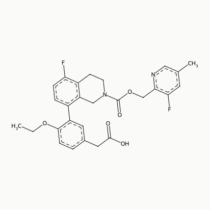 CCOc1ccc(CC(=O)O)cc1-c1ccc(F)c2c1CN(C(=O)OCc1ncc(C)cc1F)CC2